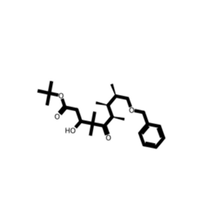 C[C@@H]([C@@H](C)COCc1ccccc1)[C@@H](C)C(=O)C(C)(C)C(O)CC(=O)OC(C)(C)C